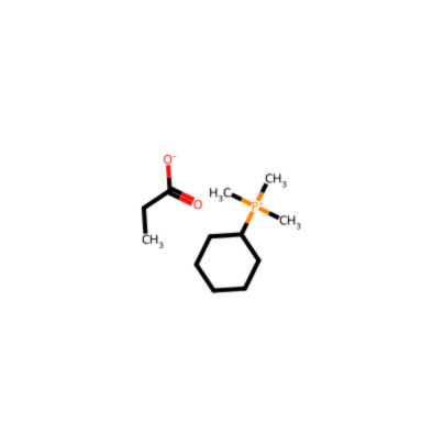 CCC(=O)[O-].C[P+](C)(C)C1CCCCC1